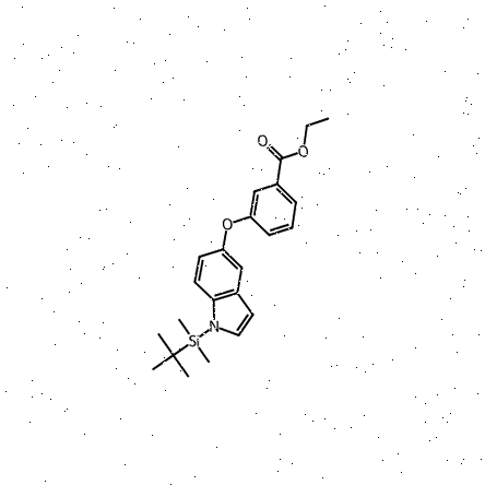 CCOC(=O)c1cccc(Oc2ccc3c(ccn3[Si](C)(C)C(C)(C)C)c2)c1